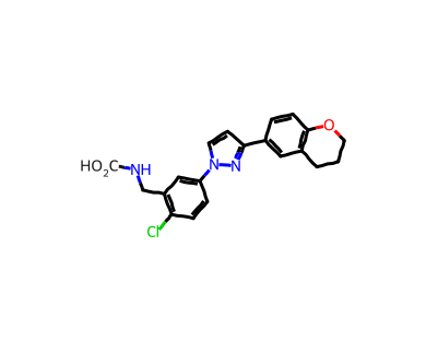 O=C(O)NCc1cc(-n2ccc(-c3ccc4c(c3)CCCO4)n2)ccc1Cl